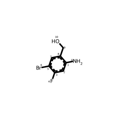 Nc1cc(F)c(Br)cc1CO